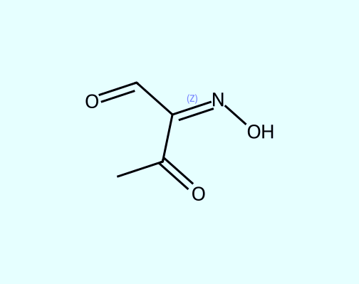 CC(=O)/C(C=O)=N\O